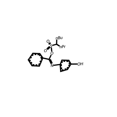 CCCCC(CCC)S(=O)(=O)OC(=Nc1ccc(O)cc1)c1ccccc1